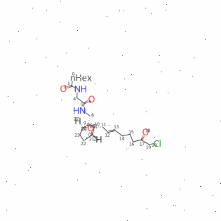 CCCCCCC(=O)NCC(=O)NC[C@@H]1[C@H](CC=CCCCC(=O)CCl)[C@@H]2CC[C@@H]1O2